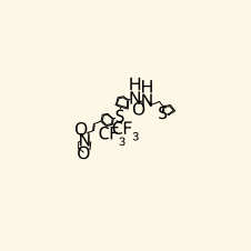 O=C(NCCc1cccs1)Nc1cccc(Sc2ccc(/C=C/C(=O)N3CCOCC3)c(C(F)(F)F)c2C(F)(F)F)c1